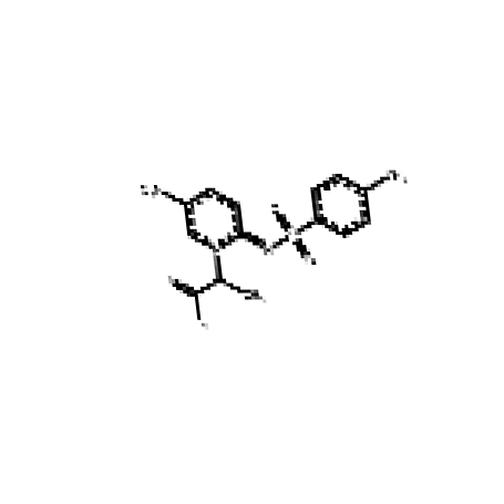 Cc1ccc(S(=O)(=O)N=c2ccc([N+](=O)[O-])cn2C(C)C(=O)C(C)C)cc1